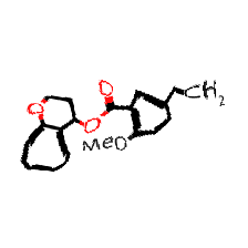 C=Cc1ccc(OC)c(C(=O)OC2CCOc3ccccc32)c1